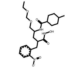 CCOCOCC(CC(Cc1ccccc1[N+](=O)[O-])C(=O)NO)NC(=O)C1CCC(C)CC1